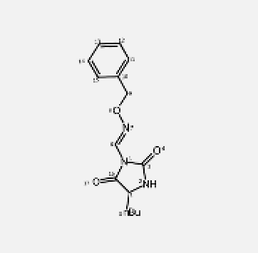 CCCCC1NC(=O)N(C=NOCc2ccccc2)C1=O